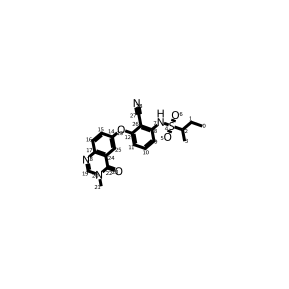 CCC(C)S(=O)(=O)Nc1cccc(Oc2ccc3ncn(C)c(=O)c3c2)c1C#N